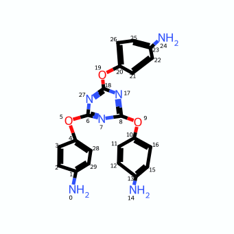 Nc1ccc(Oc2nc(Oc3ccc(N)cc3)nc(Oc3ccc(N)cc3)n2)cc1